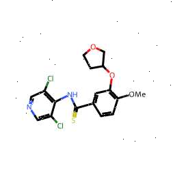 COc1ccc(C(=S)Nc2c(Cl)cncc2Cl)cc1OC1CCOC1